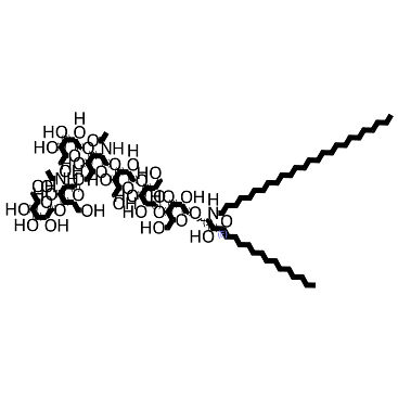 CCCCCCCCCCCCC/C=C/[C@@H](O)[C@H](CO[C@@H]1OC(CO)[C@@H](O[C@@H]2OC(CO)[C@H](O[C@@H]3OC(CO)[C@H](O)[C@H](O[C@@H]4OC(CO[C@@H]5OC(CO)[C@@H](O[C@@H]6OC(CO)[C@H](O)[C@H](O)C6O)[C@H](O)C5NC(C)=O)[C@H](O)[C@H](O[C@@H]5OC(CO)[C@H](O)[C@H](O)C5O)C4NC(C)=O)C3O)[C@H](O)C2O)[C@H](O)C1O)NC(=O)CCCCCCCCCCCCCCCCCCCCCCCCC